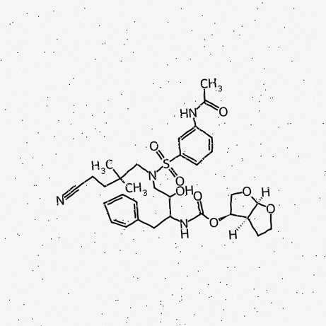 CC(=O)Nc1cccc(S(=O)(=O)N(CC(O)C(Cc2ccccc2)NC(=O)O[C@H]2CO[C@H]3OCC[C@H]32)CC(C)(C)CCC#N)c1